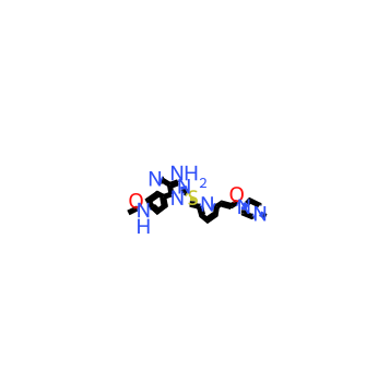 CC(=O)Nc1ccc(-c2nc(SCc3cccc(C=CC(=O)N4CCN(C)CC4)n3)nc(N)c2C#N)cc1